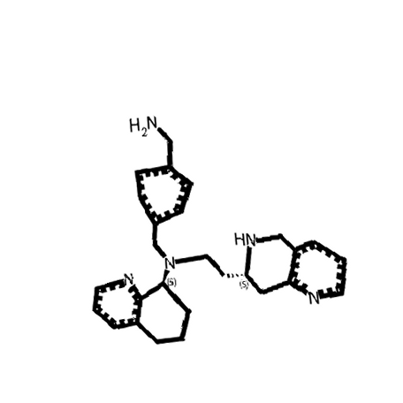 NCc1ccc(CN(CC[C@H]2Cc3ncccc3CN2)[C@H]2CCCc3cccnc32)cc1